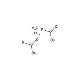 C.C.O=C(O)F.O=C(O)F